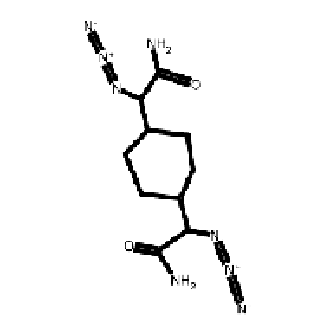 [N-]=[N+]=NC(C(N)=O)C1CCC(C(N=[N+]=[N-])C(N)=O)CC1